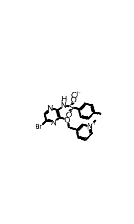 Cc1ccc(S(=O)(=O)Nc2ncc(Br)nc2OCc2ccc[n+](C)c2)cc1.[Cl-]